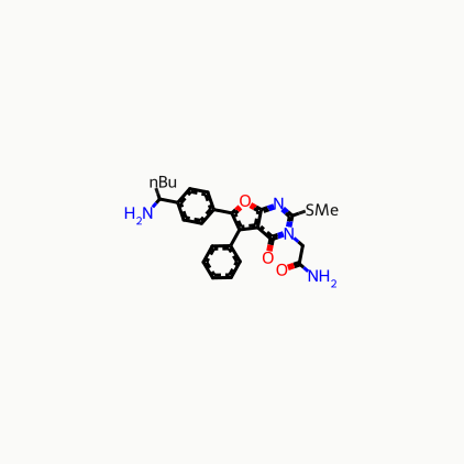 CCCCC(N)c1ccc(-c2oc3nc(SC)n(CC(N)=O)c(=O)c3c2-c2ccccc2)cc1